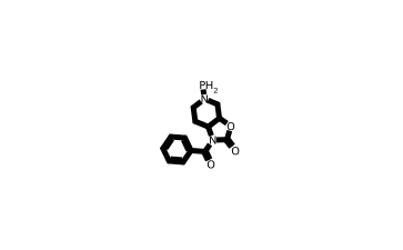 O=C1OC2CN(P)CCC2N1C(=O)c1ccccc1